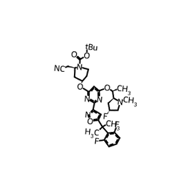 C[C@H](Oc1cc(O[C@H]2CCN(C(=O)OC(C)(C)C)[C@H](CC#N)C2)nc(-c2cc(C(C)(C)c3c(F)cccc3F)on2)n1)[C@@H]1C[C@@H](F)CN1C